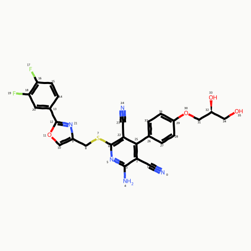 N#Cc1c(N)nc(SCc2coc(-c3ccc(F)c(F)c3)n2)c(C#N)c1-c1ccc(OC[C@@H](O)CO)cc1